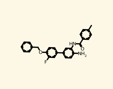 Cc1ccc(C(=O)Nc2cc(-c3ccc(OCc4ccccc4)c(F)c3)ccc2N)cc1